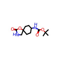 CC(C)(C)OC(=O)NC1CCC2(CC1)CNC(=O)O2